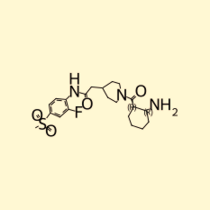 CS(=O)(=O)c1ccc(NC(=O)CC2CCN(C(=O)[C@@H]3CCCC[C@H]3N)CC2)c(F)c1